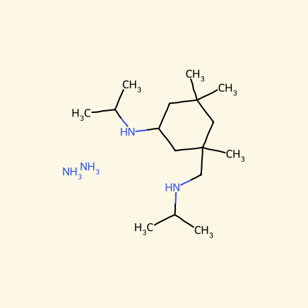 CC(C)NCC1(C)CC(NC(C)C)CC(C)(C)C1.N.N